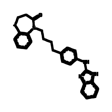 O=C1CC[CH]c2ccccc2N1CCCCc1ccc(Nc2nc3ccccc3[nH]2)cc1